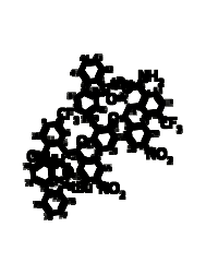 CC(C)(C)[Si](OC[C@H](c1cc(C(F)(F)F)ccc1C(N)=O)[C@@H](Oc1cccc(O[C@@H](c2ccc([N+](=O)[O-])cc2)[C@H](CO[Si](c2ccccc2)(c2ccccc2)C(C)(C)C)c2cc(C(F)(F)F)ccc2C(N)=O)c1I)c1ccc([N+](=O)[O-])cc1)(c1ccccc1)c1ccccc1